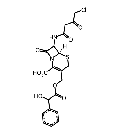 O=C(CCl)CC(=O)NC1C(=O)N2C(C(=O)O)=C(COC(=O)C(O)c3ccccc3)CS[C@H]12